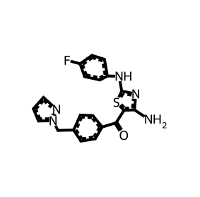 Nc1nc(Nc2ccc(F)cc2)sc1C(=O)c1ccc(Cn2cccn2)cc1